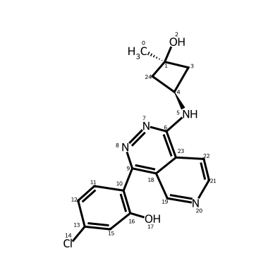 C[C@]1(O)C[C@@H](Nc2nnc(-c3ccc(Cl)cc3O)c3cnccc23)C1